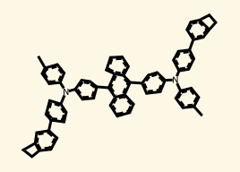 Cc1ccc(N(c2ccc(-c3ccc4c(c3)CC4)cc2)c2ccc(-c3c4ccccc4c(-c4ccc(N(c5ccc(C)cc5)c5ccc(-c6ccc7c(c6)CC7)cc5)cc4)c4ccccc34)cc2)cc1